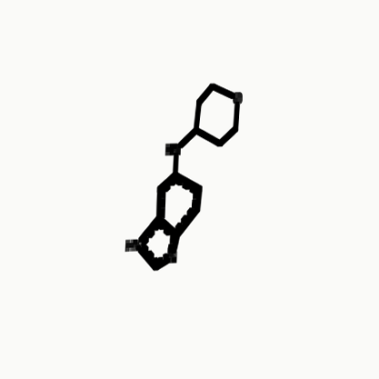 c1nc2ccc(NC3CCOCC3)cc2[nH]1